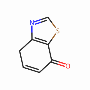 O=C1C=CCc2ncsc21